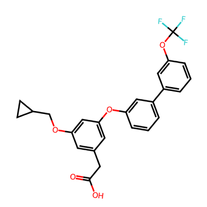 O=C(O)Cc1cc(OCC2CC2)cc(Oc2cccc(-c3cccc(OC(F)(F)F)c3)c2)c1